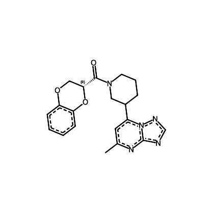 Cc1cc(C2CCCN(C(=O)[C@H]3COc4ccccc4O3)C2)n2ncnc2n1